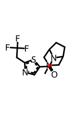 CN1CC2CCC(C1)N2C(=O)c1cnc(CC(F)(F)F)s1